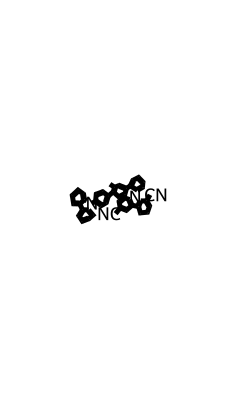 Cc1cc(-c2ccccc2-n2c3c(c4cc(C#N)ccc42)CCC=C3C#N)ccc1-c1ccc(-n2c3ccccc3c3ccccc32)cc1